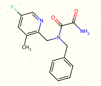 Cc1cc(F)cnc1CN(Cc1ccccc1)C(=O)C(N)=O